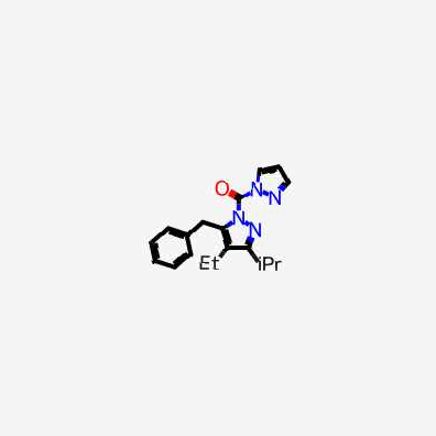 CCc1c(C(C)C)nn(C(=O)n2cccn2)c1Cc1ccccc1